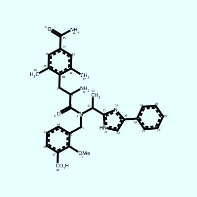 COc1c(CN(C(=O)C(N)Cc2c(C)cc(C(N)=O)cc2C)C(C)c2nc(-c3ccccc3)c[nH]2)cccc1C(=O)O